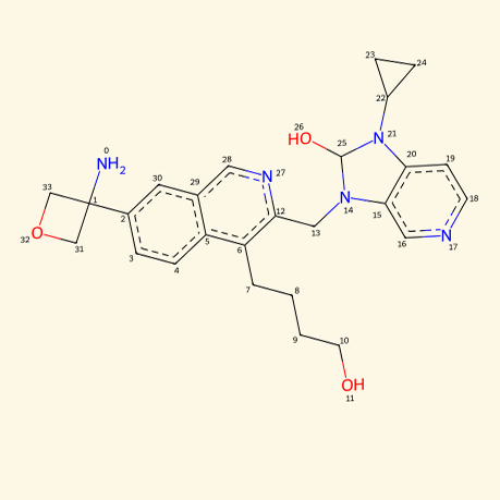 NC1(c2ccc3c(CCCCO)c(CN4c5cnccc5N(C5CC5)C4O)ncc3c2)COC1